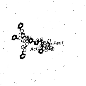 CCCCC[C@@H](C(=O)NCNC(=O)c1ccc(-c2ccc(C(=O)N[C@@H](CC(=O)OCc3ccccc3)C(=O)OCc3ccccc3)c(OCC(=O)OCc3ccccc3)c2)o1)[C@@H](CC)N(C=O)OC(=O)c1ccccc1OC(C)=O